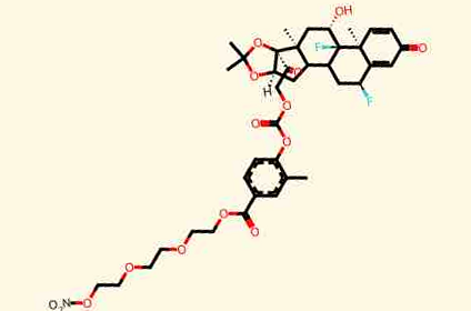 Cc1cc(C(=O)OCCOCCOCCO[N+](=O)[O-])ccc1OC(=O)OCC(=O)[C@@]12OC(C)(C)O[C@@H]1CC1C3C[C@H](F)C4=CC(=O)C=C[C@]4(C)[C@@]3(F)[C@@H](O)C[C@@]12C